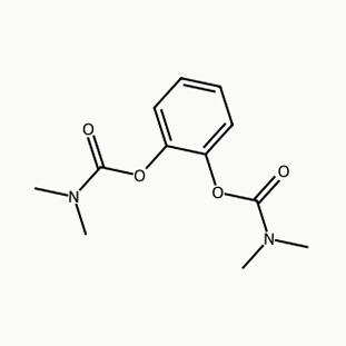 CN(C)C(=O)Oc1ccccc1OC(=O)N(C)C